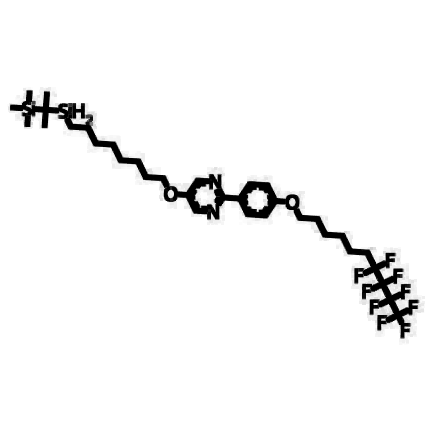 CC(C)([SiH2]CCCCCCCCOc1cnc(-c2ccc(OCCCCCCC(F)(F)C(F)(F)C(F)(F)C(F)(F)F)cc2)nc1)[Si](C)(C)C